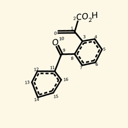 C=C(C(=O)O)c1ccccc1C(=O)c1ccccc1